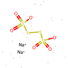 O=S(=O)([O-])SSS(=O)(=O)[O-].[Na+].[Na+]